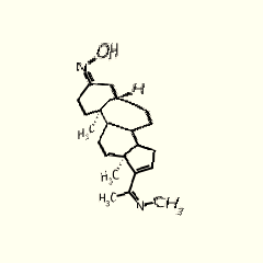 C/N=C(/C)C1=CCC2C3CC[C@H]4C/C(=N\O)CC[C@]4(C)C3CC[C@]12C